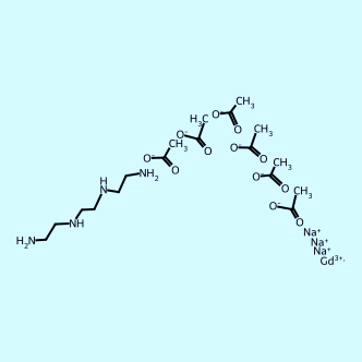 CC(=O)[O-].CC(=O)[O-].CC(=O)[O-].CC(=O)[O-].CC(=O)[O-].CC(=O)[O-].NCCNCCNCCN.[Gd+3].[Na+].[Na+].[Na+]